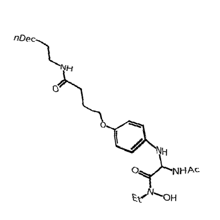 CCCCCCCCCCCCNC(=O)CCCOc1ccc(NC(NC(C)=O)C(=O)N(O)CC)cc1